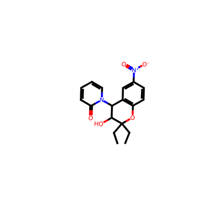 CCC1(CC)Oc2ccc([N+](=O)[O-])cc2C(n2ccccc2=O)C1O